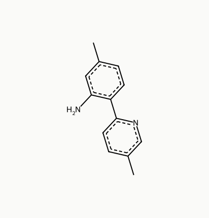 Cc1ccc(-c2ccc(C)cc2N)nc1